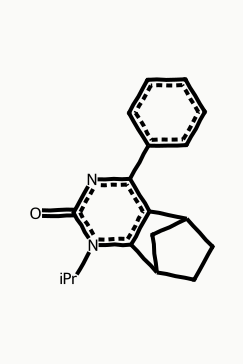 CC(C)n1c2c(c(-c3ccccc3)nc1=O)C1CCC2C1